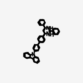 C1=C(c2ccccc2)NC(c2ccccc2)NC1c1ccc(-c2ccc(-n3c4ccccc4c4ccccc43)cc2)cc1